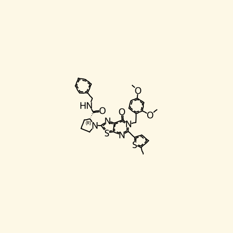 COc1ccc(Cn2c(-c3ccc(C)s3)nc3sc(N4CCC[C@@H]4C(=O)NCc4ccccc4)nc3c2=O)c(OC)c1